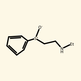 CCNCC[S+]([O-])c1ccccc1